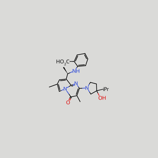 Cc1cc([C@@H](C)Nc2ccccc2C(=O)O)c2nc(N3CCC(O)(C(C)C)C3)c(C)c(=O)n2c1